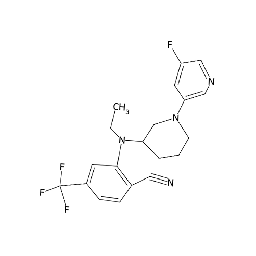 CCN(c1cc(C(F)(F)F)ccc1C#N)C1CCCN(c2cncc(F)c2)C1